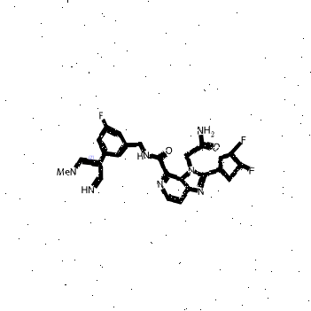 CN/C=C(\C=N)c1cc(F)cc(CNC(=O)C2=NC=CC3N=C(C4CC(F)C(F)C4)N(CC(N)=O)C23)c1